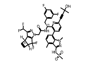 Cc1ccc(-c2ccc(C#CC(C)(C)O)nc2[C@H](Cc2cc(F)cc(F)c2)NC(=O)Cn2nc(C(F)F)c3c2C(F)(F)[C@@H]2C#C[C@H]32)c2c1c(NS(C)(=O)=O)nn2C